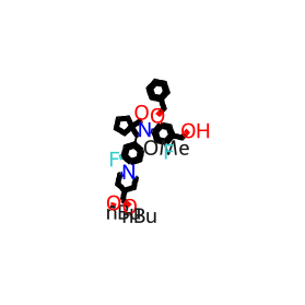 CCCCOC(OCCCC)C1CCN(c2cc(OC)c([C@@H]3N(c4cc(F)c(CO)cc4OCc4ccccc4)C(=O)C34CCCC4)cc2F)CC1